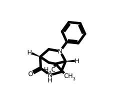 CC1(C)C[C@H]2CN(c3ccccc3)[C@@H]1CNC2=O